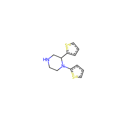 c1csc(C2CNCCN2c2cccs2)c1